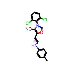 Cc1ccc(N/C=C/C2=C(C#N)N(c3c(Cl)cccc3Cl)CO2)cc1